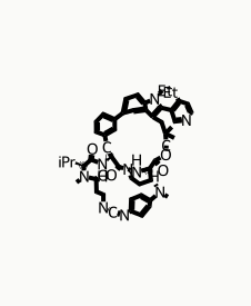 CCc1ccncc1-c1c2c3cc(ccc3n1CC)-c1cccc(c1)C[C@H](NC(=O)[C@H](C(C)C)N(C)C(=O)CCN=C=Nc1ccc(N(C)C)cc1)C(=O)N1CCC[C@H](N1)C(=O)OCC(C)(C)C2